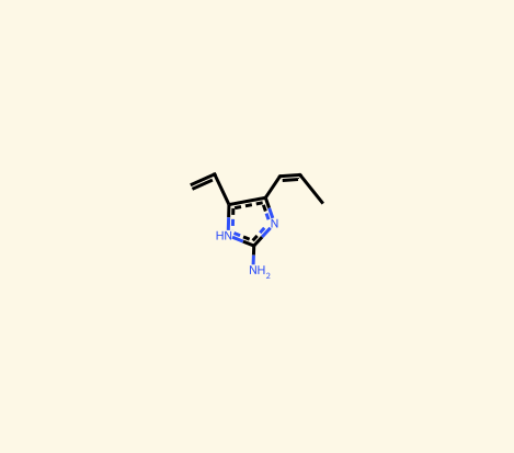 C=Cc1[nH]c(N)nc1/C=C\C